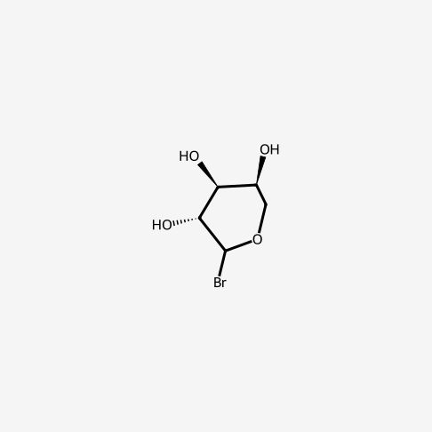 O[C@H]1[C@@H](O)COC(Br)[C@@H]1O